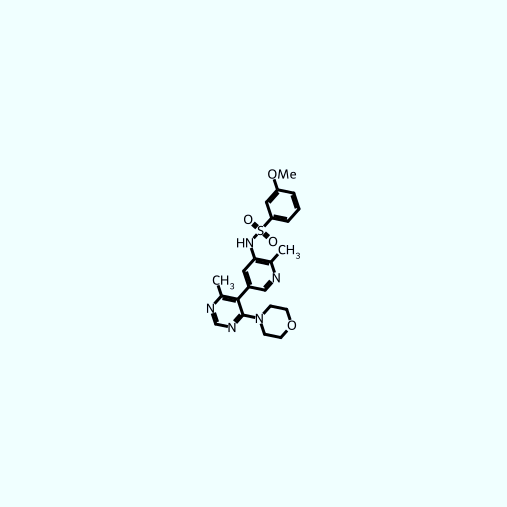 COc1cccc(S(=O)(=O)Nc2cc(-c3c(C)ncnc3N3CCOCC3)cnc2C)c1